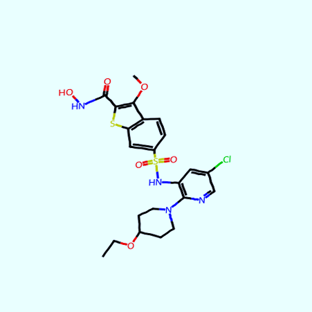 CCOC1CCN(c2ncc(Cl)cc2NS(=O)(=O)c2ccc3c(OC)c(C(=O)NO)sc3c2)CC1